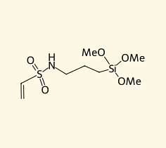 C=CS(=O)(=O)NCCC[Si](OC)(OC)OC